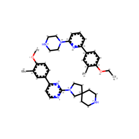 CC(C)Oc1ccc(-c2ccnc(N3CCC4(CCNCC4)C3)n2)cc1C(C)(C)C.CC(C)c1cc(-c2cccc(N3CCNCC3)n2)ccc1OCC(F)(F)F